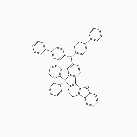 C1=CCC(C2(c3ccccc3)C3=C(C4=C(CC3)C3C=CC=CC3O4)c3ccc(N(C4=CC=C(c5ccccc5)CC4)c4ccc(-c5ccccc5)cc4)cc32)C=C1